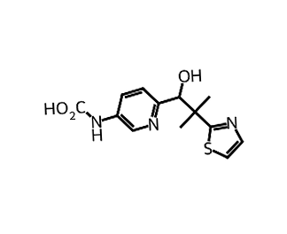 CC(C)(c1nccs1)C(O)c1ccc(NC(=O)O)cn1